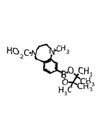 CN1CCN(C(=O)O)Cc2ccc(B3OC(C)(C)C(C)(C)O3)cc21